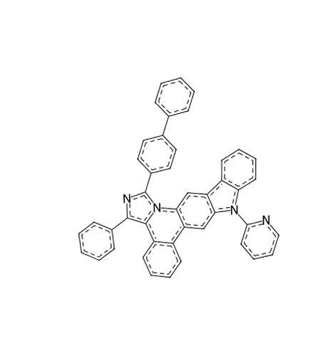 c1ccc(-c2ccc(-c3nc(-c4ccccc4)c4c5ccccc5c5cc6c(cc5n34)c3ccccc3n6-c3ccccn3)cc2)cc1